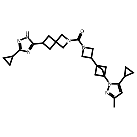 Cc1cc(C2CC2)n(C23CC(C4CN(C(=O)N5CC6(CC(c7nc(C8CC8)n[nH]7)C6)C5)C4)(C2)C3)n1